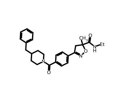 CCNC(=O)C1(C)CC(c2ccc(C(=O)N3CCC(Cc4ccccc4)CC3)cc2)=NO1